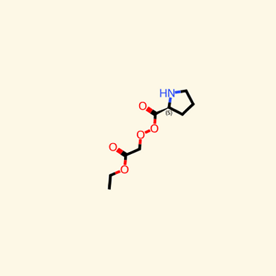 CCOC(=O)COOC(=O)[C@@H]1CCCN1